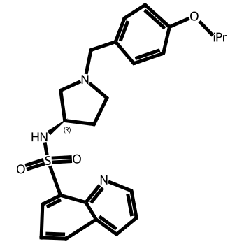 CC(C)Oc1ccc(CN2CC[C@@H](NS(=O)(=O)c3cccc4cccnc34)C2)cc1